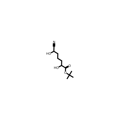 CC(C)(C)OC(=O)C(O)CCCC(O)C#N